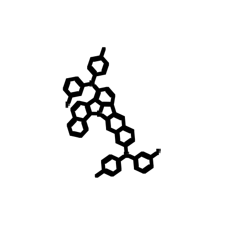 Cc1ccc(N(c2cccc(F)c2)c2ccc3cc4c5ccc(N(c6ccc(C)cc6)c6cccc(F)c6)c6c7ccc8ccccc8c7n(c4cc3c2)c56)cc1